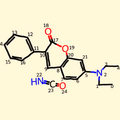 CCN(CC)c1ccc2cc(-c3ccccc3)c(=O)oc2c1.N=C=O